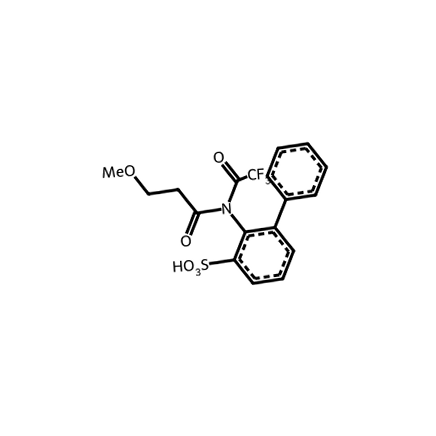 COCCC(=O)N(C(=O)C(F)(F)F)c1c(-c2ccccc2)cccc1S(=O)(=O)O